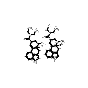 CCN(CC)C(=O)[C@@H]1C=C2c3cccc4[nH]cc(c34)C[C@H]2N(C)C1.CCN(CC)C(=O)[C@@H]1C=C2c3cccc4[nH]cc(c34)C[C@H]2N(C)C1